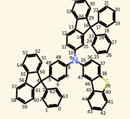 c1ccc(C2(c3ccc(N(c4ccc5c(c4)C(c4ccccc4)(c4ccccc4)c4ccccc4-5)c4ccc5sc6ccccc6c5c4)cc3)c3ccccc3-c3ccccc32)cc1